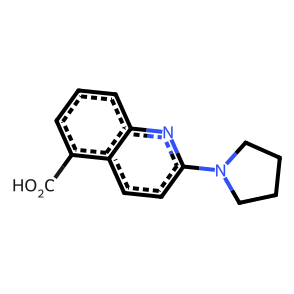 O=C(O)c1cccc2nc(N3CCCC3)ccc12